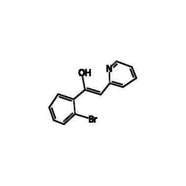 OC(=Cc1ccccn1)c1ccccc1Br